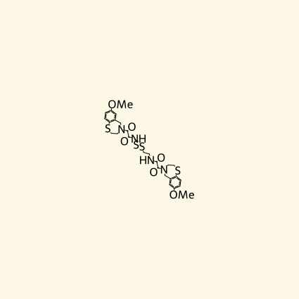 COc1ccc2c(c1)CN(C(=O)C(=O)NCCSSNC(=O)C(=O)N1CCSc3ccc(OC)cc3C1)CCS2